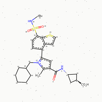 Cc1c(C(=O)N[C@H]2C[C@H](C(=O)O)C2)cc(-c2ccc(S(=O)(=O)NC(C)(C)C)c3sccc23)n1CC1CCCCC1